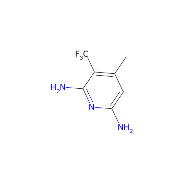 Cc1cc(N)nc(N)c1C(F)(F)F